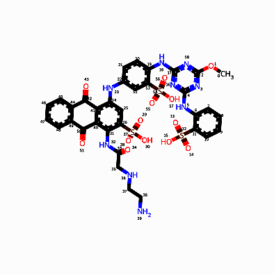 COc1nc(Nc2ccccc2S(=O)(=O)O)nc(Nc2ccc(Nc3cc(S(=O)(=O)O)c(NC(=O)CNCCN)c4c3C(=O)c3ccccc3C4=O)cc2S(=O)(=O)O)n1